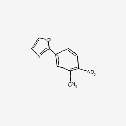 Cc1cc(-c2ncco2)ccc1[N+](=O)[O-]